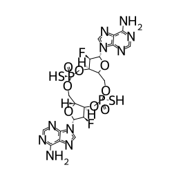 Nc1ncnc2c1ncn2[C@@H]1O[C@@H]2CO[P@@](=O)(S)O[C@@H]3C(CO[P@](=O)(S)O[C@H]2[C@H]1F)O[C@@H](n1cnc2c(N)ncnc21)[C@@H]3F